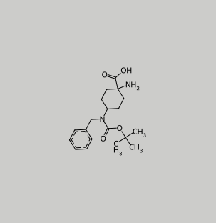 CC(C)(C)OC(=O)N(Cc1ccccc1)C1CCC(N)(C(=O)O)CC1